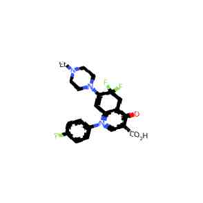 CCN1CCN(C2=Cc3c(c(=O)c(C(=O)O)cn3-c3ccc(F)cc3)CC2(F)F)CC1